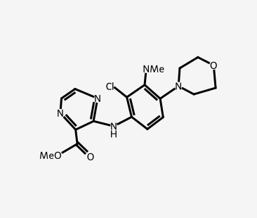 CNc1c(N2CCOCC2)ccc(Nc2nccnc2C(=O)OC)c1Cl